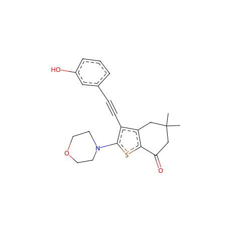 CC1(C)CC(=O)c2sc(N3CCOCC3)c(C#Cc3cccc(O)c3)c2C1